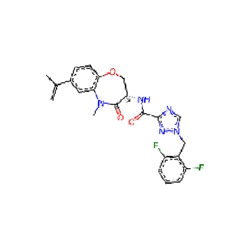 C=C(C)c1ccc2c(c1)N(C)C(=O)[C@@H](NC(=O)c1ncn(Cc3c(F)cccc3F)n1)CO2